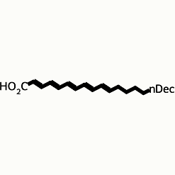 CCCCCCCCCCCCCCC=CC=CC=CC=CC=CC(=O)O